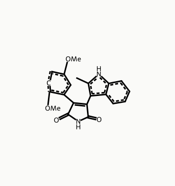 COc1ccc(OC)c(C2=C(c3c(C)[nH]c4ccccc34)C(=O)NC2=O)c1